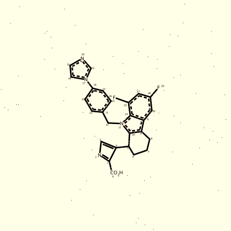 O=C(O)C1=NC=C1C1CCCc2c1n(Cc1ccc(-n3ccnc3)cc1)c1c(F)cc(F)cc21